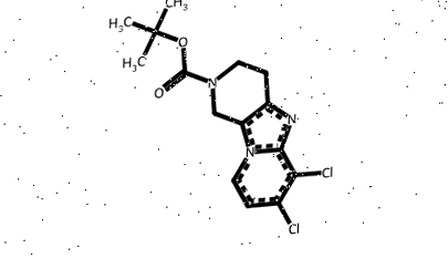 CC(C)(C)OC(=O)N1CCc2nc3c(Cl)c(Cl)ccn3c2C1